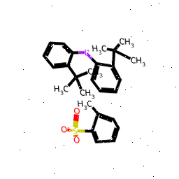 CC(C)(C)c1ccccc1[I+]c1ccccc1C(C)(C)C.Cc1ccccc1S(=O)(=O)[O-]